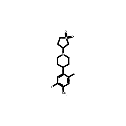 Cc1cc(N)c(F)cc1C1CCN(C2CCS(=O)(=O)C2)CC1